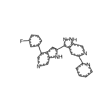 Fc1cccc(-c2cncc3[nH]c(-c4n[nH]c5cnc(-c6ccccn6)cc45)cc23)c1